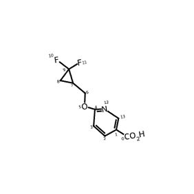 O=C(O)c1ccc(OCC2CC2(F)F)nc1